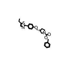 CCc1cnc(-c2ccc(OC[C@@H]3CCN(C(=O)OCc4ccccc4)C3)cc2)s1